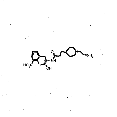 NCCN1CCC(CCC(=O)N[C@H]2Cc3cccc(C(=O)O)c3OB2O)CC1